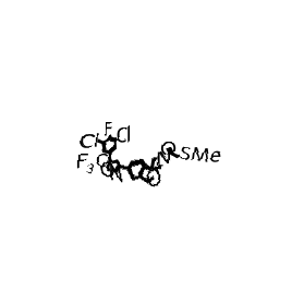 CSCC(=O)N1CC2(C1)OCc1cc(C3=NO[C@](c4cc(Cl)c(F)c(Cl)c4)(C(F)(F)F)C3)ccc12